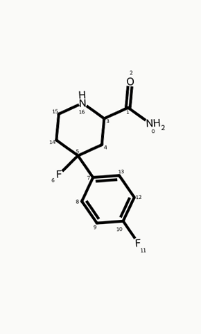 NC(=O)C1CC(F)(c2ccc(F)cc2)CCN1